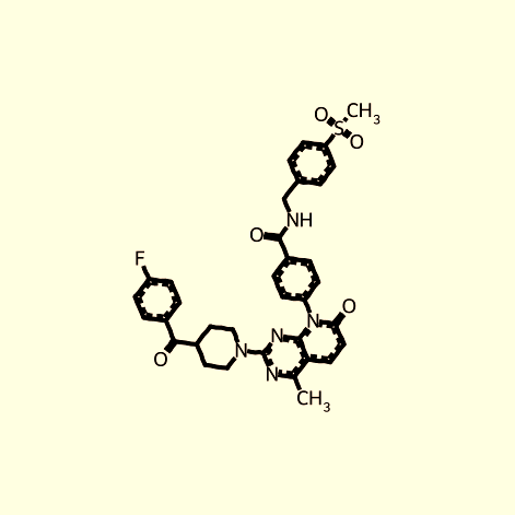 Cc1nc(N2CCC(C(=O)c3ccc(F)cc3)CC2)nc2c1ccc(=O)n2-c1ccc(C(=O)NCc2ccc(S(C)(=O)=O)cc2)cc1